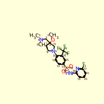 COC1(CN(C)C)CCN(c2ccc(S(=O)(=O)Nc3cccc(F)n3)cc2C(F)(F)F)C1